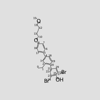 CCc1cc(-c2ccc(OCCCCOC)cc2)ccc1-c1cc(Br)c(O)c(Br)c1